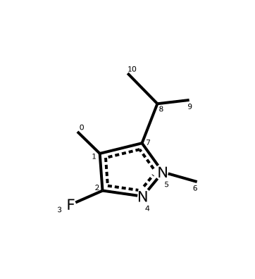 Cc1c(F)nn(C)c1C(C)C